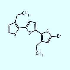 CCc1ccsc1-c1ccc(-c2sc(Br)cc2CC)s1